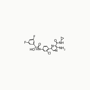 Nc1ncc(-c2ccc(NC(=O)[C@@H](O)c3cc(F)cc(F)c3)cc2Cl)nc1C(=O)NC1CC1